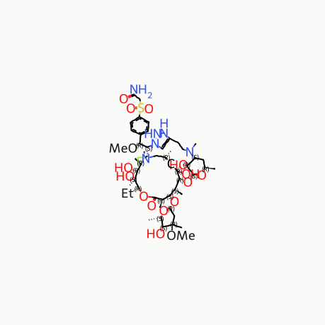 CC[C@H]1OC(=O)[C@H](C)[C@@H](O[C@H]2C[C@@](C)(OC)[C@@H](O)[C@H](C)O2)[C@H](C)[C@@H](O[C@@H]2O[C@H](C)C[C@H](N(C)CCC3=CN([C@H](CF)[C@H](OC)c4ccc(S(=O)(=O)CC(N)=O)cc4)NN3)[C@H]2O)[C@](C)(O)C[C@@H](C)CN(C)[C@H](C)[C@@H](O)[C@]1(C)O